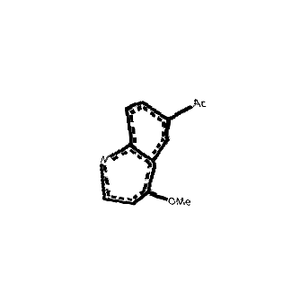 COc1ccnc2ccc(C(C)=O)cc12